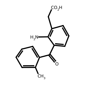 Cc1ccccc1C(=O)c1cccc(CC(=O)O)c1N